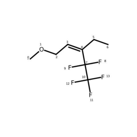 [CH2]OCC=C(CC)C(F)(F)C(F)(F)F